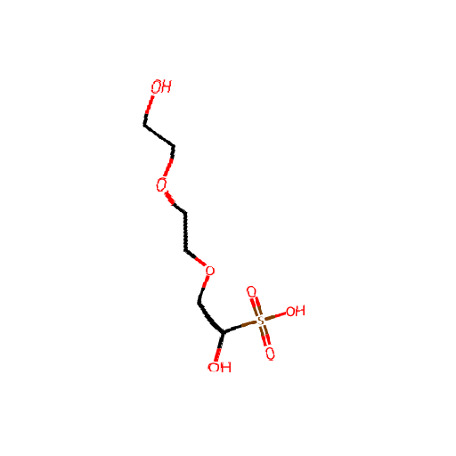 O=S(=O)(O)C(O)COCCOCCO